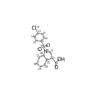 O=C(O)c1cn(S(=O)(=O)c2ccc(Cl)cc2)c2ccccc12